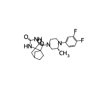 C[C@H]1CN(C(=O)C23CCC(C2)CC32NC(=O)NC2=O)CCN1c1ccc(F)c(F)c1